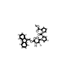 COC(=O)[C@H]1CCCN1C(=O)[C@H]1CCCN1C(=O)[C@H](C)NC(=O)OCC1c2ccccc2-c2ccccc21